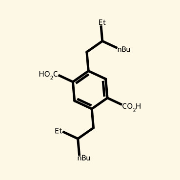 CCCCC(CC)Cc1cc(C(=O)O)c(CC(CC)CCCC)cc1C(=O)O